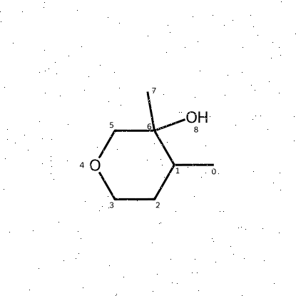 CC1CCOCC1(C)O